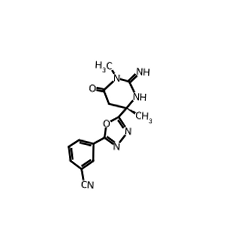 CN1C(=N)N[C@](C)(c2nnc(-c3cccc(C#N)c3)o2)CC1=O